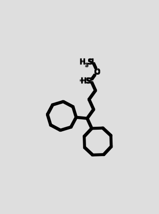 [SiH3]O[SiH]CCCC(C1CCCCCCC1)C1CCCCCCC1